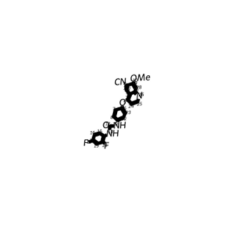 [C-]#[N+]c1cc2c(Oc3ccc(NC(=O)Nc4ccc(F)cc4F)cc3)ccnc2cc1OC